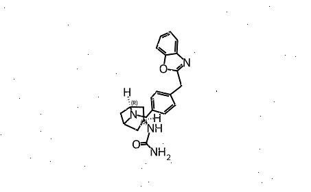 NC(=O)N[C@H]1CC2C[C@@H](C1)N2Cc1ccc(Cc2nc3ccccc3o2)cc1